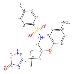 Cc1ccc(S(=O)(=O)N2CC(CC(C)(C)c3nc(=O)o[nH]3)Oc3ccc([N+](=O)[O-])cc32)cc1